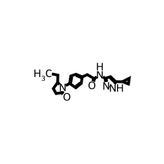 CCC1CCC(=O)N1c1ccc(CC(=O)Nc2cc(C3CC3)[nH]n2)cc1